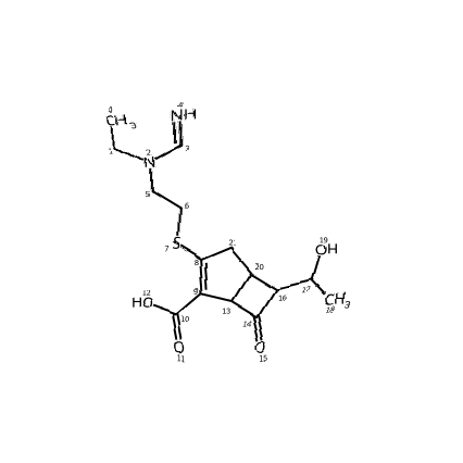 CCN(C=N)CCSC1=C(C(=O)O)C2C(=O)C(C(C)O)C2C1